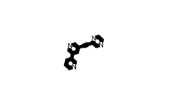 C(#Cc1cnccn1)c1cncc(-c2cccnc2)c1